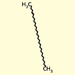 CCCCC=CCCCCCCCCCCCCCCCCCCCCCCCCC